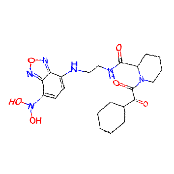 O=C(C(=O)N1CCCCC1C(=O)NCCNc1ccc(N(O)O)c2nonc12)C1CCCCC1